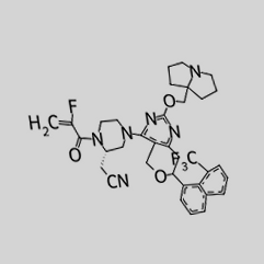 C=C(F)C(=O)N1CCN(c2nc(OCC34CCCN3CCC4)nc3c2COC(c2cccc4cccc(C(F)(F)F)c24)C3)C[C@@H]1CC#N